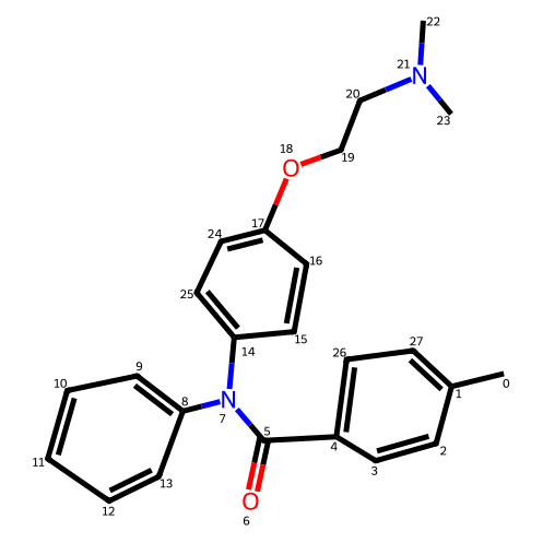 Cc1ccc(C(=O)N(c2ccccc2)c2ccc(OCCN(C)C)cc2)cc1